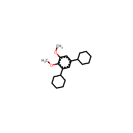 COc1cc(C2CCCCC2)cc(C2CCCCC2)c1OC